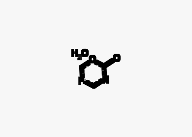 O.O=c1ncpco1